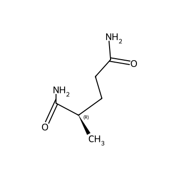 C[C@H](CCC(N)=O)C(N)=O